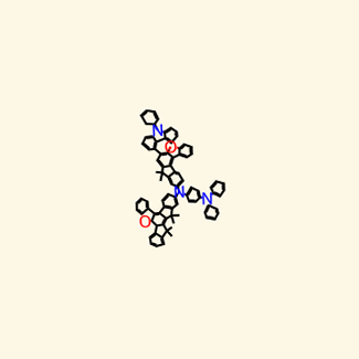 CC1(C)C2=C3C(c4ccccc4C3(C)C)C3Oc4ccccc4C3=C2c2ccc(N(c3ccc(N(c4ccccc4)c4ccccc4)cc3)c3ccc4c(c3)C(C)(C)c3cc(-c5cccc6c5c5ccccc5n6C5C=CC=CC5)c5oc6ccccc6c5c3-4)cc21